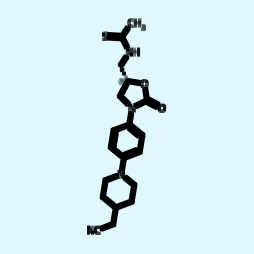 CC(=S)NC[C@H]1CN(c2ccc(N3CCC(CC#N)CC3)cc2)C(=O)O1